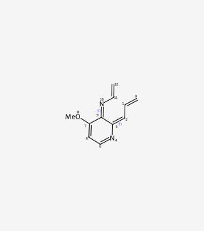 C=C/C=C1/N=CC=C(OC)/C1=N/C=C